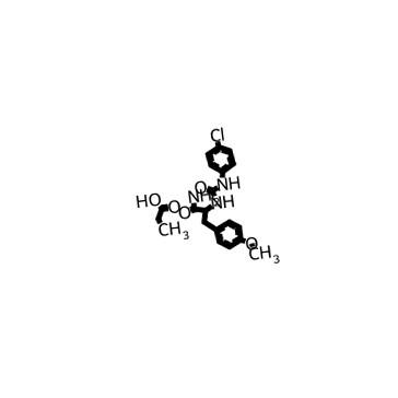 CCC(=O)O.COc1ccc(CC(NC(=O)Nc2ccc(Cl)cc2)C(N)=O)cc1